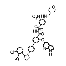 O=C(NS(=O)(=O)c1ccc(NCC2CCOCC2)c([N+](=O)[O-])c1)c1ccc(-c2ccc(N3CCCC3c3cccc(Cl)c3C3CC3)cc2)cc1Oc1cnc2[nH]ccc2c1